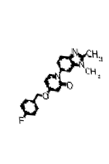 Cc1nc2ccc(-n3ccc(OCc4ccc(F)cc4)cc3=O)cc2n1C